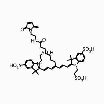 C=C1C=CC(=O)N1CCNC(=O)CCCCCCC(/C=C/C=C1/N(CCS(=O)(=O)O)c2ccc(S(=O)(=O)O)cc2C1(C)C)=C\C=C\C1=[N+](CCS(=O)(=O)O)c2ccc(S(=O)(=O)O)cc2C1(C)C